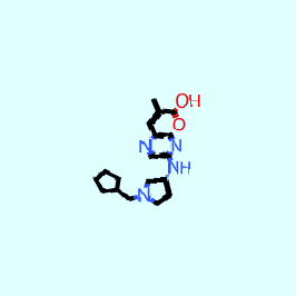 CC(=Cc1cnc(N[C@@H]2CCN(CC3CCCC3)C2)cn1)C(=O)O